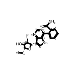 NC(=O)c1ccccc1-c1ncnc2c([C@@H]3O[C@H](CI)[C@@H](O)[C@H]3F)csc12